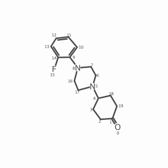 O=C1CCC(N2CCN(c3ccccc3F)CC2)CC1